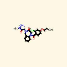 CCCCN(N)C(=O)CN1Cc2ccccc2N(C(=O)c2ccc(OCCOC(C)=O)cc2Cl)CC1=O